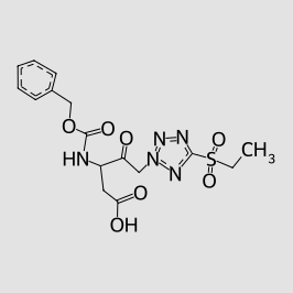 CCS(=O)(=O)c1nnn(CC(=O)C(CC(=O)O)NC(=O)OCc2ccccc2)n1